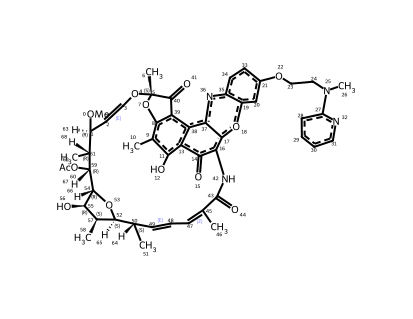 CO[C@H]1/C=C/O[C@@]2(C)Oc3c(C)c(O)c4c(=O)c(c5oc6cc(OCCN(C)c7ccccn7)ccc6nc-5c4c3C2=O)NC(=O)/C(C)=C\C=C\[C@H](C)[C@@H]2O[C@H]([C@H](O)[C@@H]2C)[C@H](OC(C)=O)[C@@H]1C